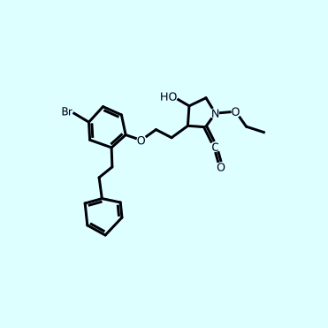 CCON1CC(O)C(CCOc2ccc(Br)cc2CCc2ccccc2)C1=C=O